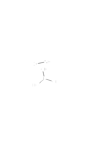 CCN.OB(O)O